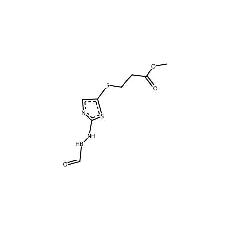 COC(=O)CCSc1cnc(NBC=O)s1